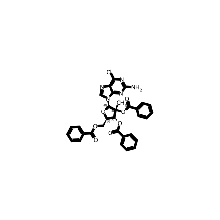 C[C@@]1(OC(=O)c2ccccc2)[C@H](OC(=O)c2ccccc2)[C@@H](COC(=O)c2ccccc2)O[C@H]1n1cnc2c(Cl)nc(N)nc21